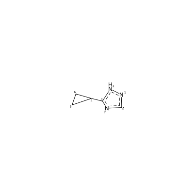 [c]1n[nH]c(C2CC2)n1